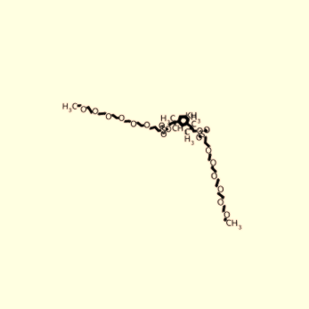 CCOCCOCCOCCOCCOCCOCCCS(=O)(=O)OCC(C)(C)c1cccc(C(C)(C)COS(=O)(=O)CCCOCCOCCOCCOCCOCCOCC)c1.[KH]